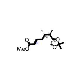 COC(=O)/C=C/C[C@H](C)[C@@H](C)[C@H]1COC(C)(C)O1